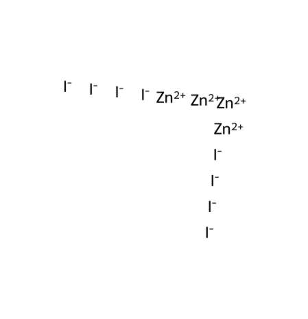 [I-].[I-].[I-].[I-].[I-].[I-].[I-].[I-].[Zn+2].[Zn+2].[Zn+2].[Zn+2]